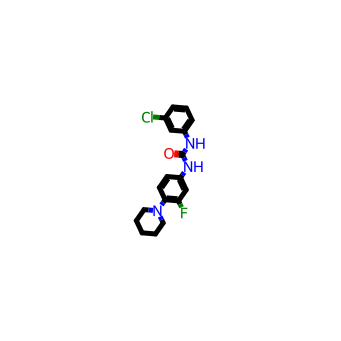 O=C(Nc1cccc(Cl)c1)Nc1ccc(N2CCCCC2)c(F)c1